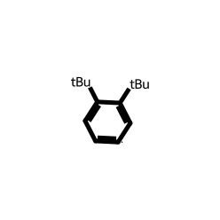 CC(C)(C)c1c[c]ccc1C(C)(C)C